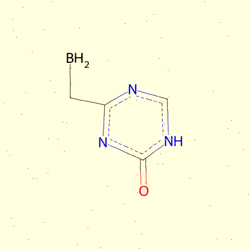 BCc1nc[nH]c(=O)n1